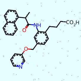 CC(C(=O)Nc1cc(COc2cccnc2)ccc1CCCC(=O)O)c1cccc2ccccc12